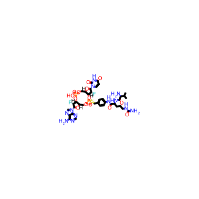 CC(C)C(N)C(=O)NC(CCCNC(N)=O)C(=O)Nc1ccc(CSP2(=O)OC[C@H]3O[C@@H](n4cnc5c(N)ncnc54)[C@H](F)[C@@H]3OP(=O)(O)OC[C@H]3O[C@@H](n4ccc(=O)[nH]c4=O)[C@H](F)[C@@H]3O2)cc1